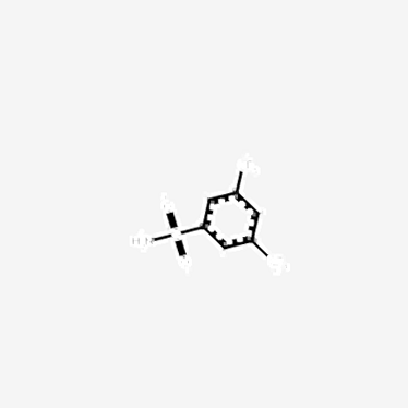 NS(=O)(=O)c1[c]c(C(F)(F)F)cc(C(F)(F)F)c1